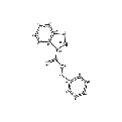 O=C(OCc1ccccc1)C1NCc2ccccc21